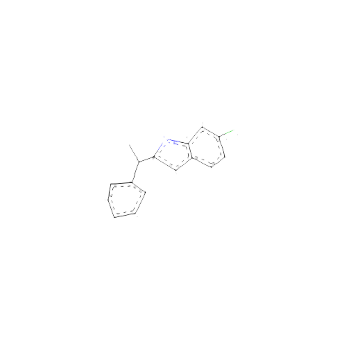 [CH2]CC(c1ccccc1)c1cc2ccc(Cl)cc2[nH]1